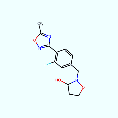 OC1CCON1Cc1ccc(-c2noc(C(F)(F)F)n2)c(F)c1